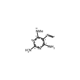 C=Nc1c(N)nc(N)nc1NC